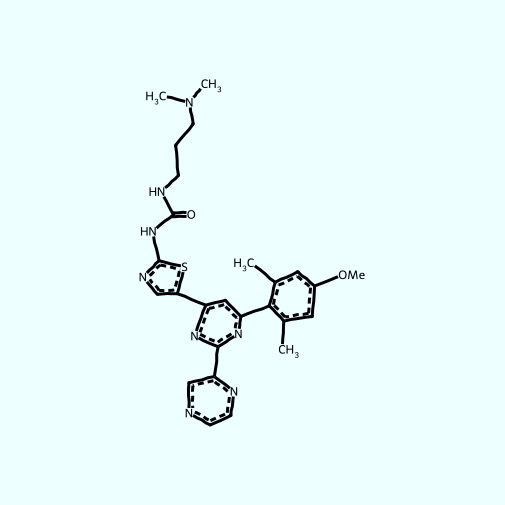 COc1cc(C)c(-c2cc(-c3cnc(NC(=O)NCCCN(C)C)s3)nc(-c3cnccn3)n2)c(C)c1